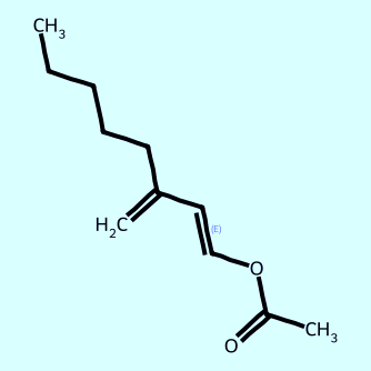 C=C(/C=C/OC(C)=O)CCCCC